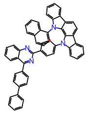 c1ccc(-c2ccc(-c3nc(-c4ccc(-n5c6ccccc6c6ccc7c8ccccc8n(-c8cccc9ccccc89)c7c65)cc4)nc4ccccc34)cc2)cc1